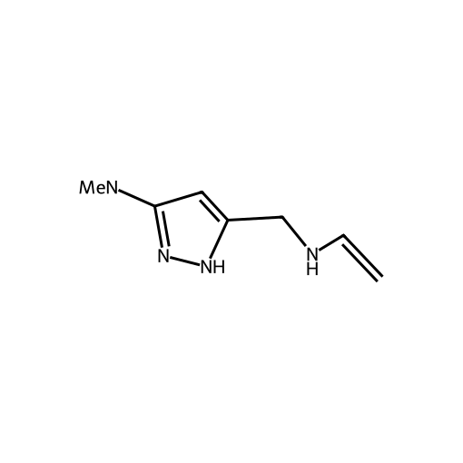 C=CNCc1cc(NC)n[nH]1